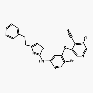 N#Cc1c(Cl)cncc1Sc1cc(Nc2nc(CCc3ccccc3)cs2)ncc1Br